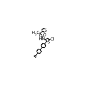 C[C@@H](OC(=O)Nc1cc(Cl)sc1-c1ccc(-c2ccc(C3CC3)cc2)cc1)c1ccsc1